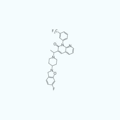 CC(c1cc2cccnc2n(-c2cccc(C(F)(F)F)c2)c1=O)N1CCC(N2Cc3ccc(F)cc3O2)CC1